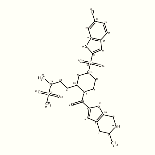 CC1Cc2nc(C(=O)N3CCN(S(=O)(=O)c4cc5ccc(Cl)cc5s4)CC3CCN(C)S(=O)(=O)C(F)(F)F)sc2CN1